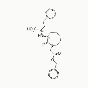 O=C(CN1CCCCC[C@H](N[C@@H](CCc2ccccc2)C(=O)O)C1=O)OCc1ccccc1